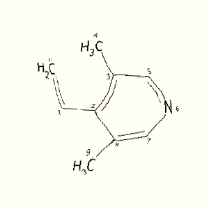 C=Cc1c(C)cncc1C